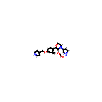 Cc1cc(OCc2ccncc2)ccc1C1CN(C2CCN[C@@H]2C(=O)O)CCO1